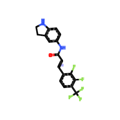 O=C(/C=C/c1ccc(C(F)(F)F)c(F)c1F)Nc1ccc2c(c1)CCN2